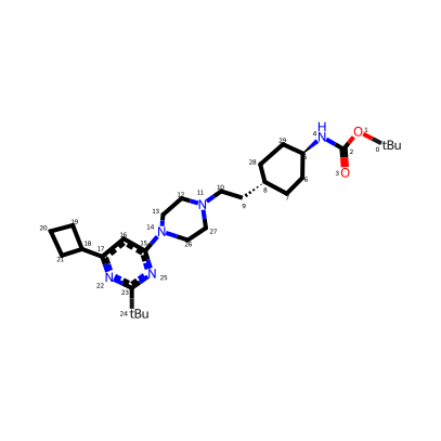 CC(C)(C)OC(=O)N[C@H]1CC[C@H](CCN2CCN(c3cc(C4CCC4)nc(C(C)(C)C)n3)CC2)CC1